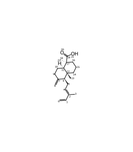 C=C/C(C)=C/C[C@H]1C(=C)CC[C@@H]2[C@]1(C)CCC[C@]2(C)C(=O)O